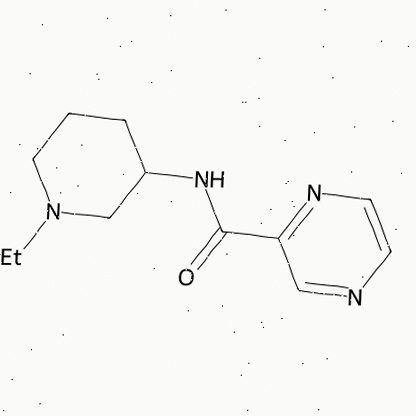 CCN1CCCC(NC(=O)c2cnccn2)C1